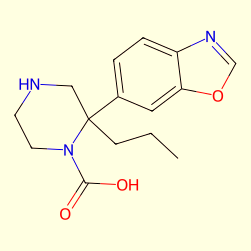 CCCC1(c2ccc3ncoc3c2)CNCCN1C(=O)O